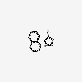 Cc1c[nH]nn1.c1ccc2ncccc2c1